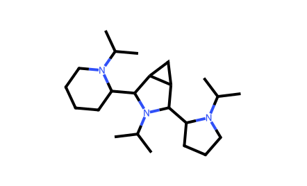 CC(C)N1CCCCC1C1C2CC2C(C2CCCN2C(C)C)N1C(C)C